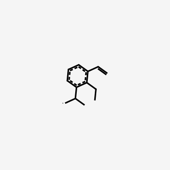 [CH2]C(C)c1cccc(C=C)c1CC